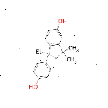 CCC1(c2ccc(O)cc2)CC(C)(C)c2cc(O)ccc21